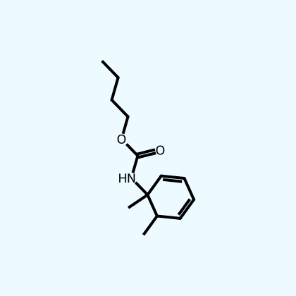 CCCCOC(=O)NC1(C)C=CC=CC1C